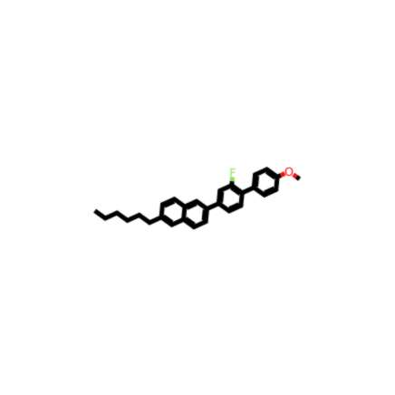 CCCCCCc1ccc2cc(-c3ccc(-c4ccc(OC)cc4)c(F)c3)ccc2c1